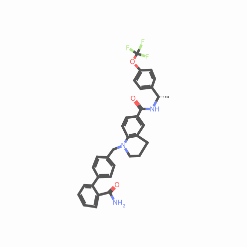 C[C@H](NC(=O)c1ccc2c(c1)CCCN2Cc1ccc(-c2ccccc2C(N)=O)cc1)c1ccc(OC(F)(F)F)cc1